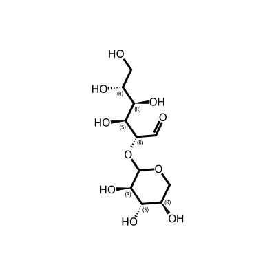 O=C[C@H](OC1OC[C@@H](O)[C@H](O)[C@H]1O)[C@@H](O)[C@H](O)[C@H](O)CO